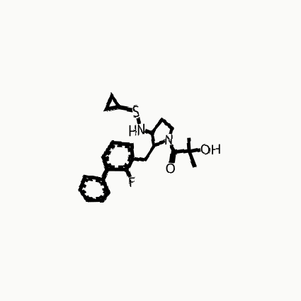 CC(C)(O)C(=O)N1CCC(NSC2CC2)C1Cc1cccc(-c2ccccc2)c1F